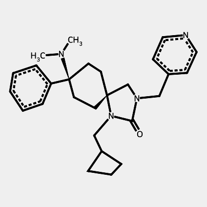 CN(C)[C@]1(c2ccccc2)CC[C@@]2(CC1)CN(Cc1ccncc1)C(=O)N2CC1CCC1